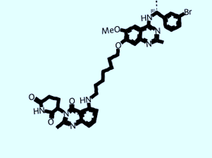 COc1cc2c(N[C@H](C)c3cccc(Br)c3)nc(C)nc2cc1OCCCCCCCNc1cccc2nc(C)n(C3CCC(=O)NC3=O)c(=O)c12